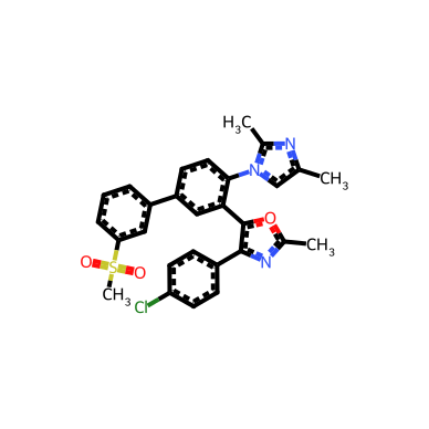 Cc1cn(-c2ccc(-c3cccc(S(C)(=O)=O)c3)cc2-c2oc(C)nc2-c2ccc(Cl)cc2)c(C)n1